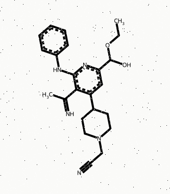 CCOC(O)c1cc(C2CCN(CC#N)CC2)c(C(C)=N)c(Nc2ccccc2)n1